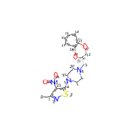 Cc1nsc(N2CCN(C[C@H]3COc4ccccc4O3)CC2)c1[N+](=O)[O-]